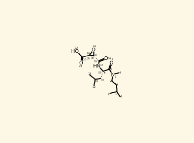 CC(C)CCN(C)C(=O)[C@H](CC(C)C)NC(=O)[C@H]1O[C@@H]1C(=O)O